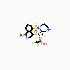 C[C@@H]1CNCCCN1S(=O)(=O)c1cccc2c(O)ncc(F)c12.O=C(O)C(F)(F)F